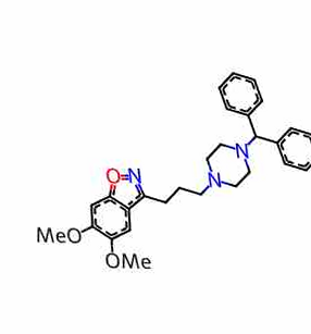 COc1cc2onc(CCCN3CCN(C(c4ccccc4)c4ccccc4)CC3)c2cc1OC